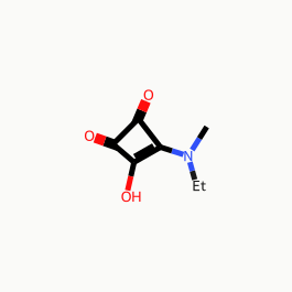 CCN(C)c1c(O)c(=O)c1=O